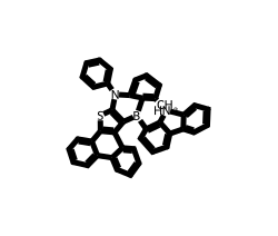 Cc1cccc2c1B(c1cccc3c1[nH]c1ccccc13)c1c(sc3c4ccccc4c4ccccc4c13)N2c1ccccc1